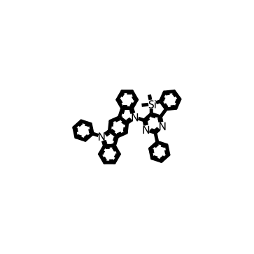 C[Si]1(C)c2ccccc2-c2nc(-c3ccccc3)nc(-n3c4ccccc4c4cc5c(cc43)c3ccccc3n5-c3ccccc3)c21